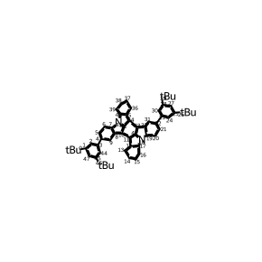 CC(C)(C)c1cc(-c2ccc3c(c2)c2c4c5ccccc5n5c6ccc(-c7cc(C(C)(C)C)cc(C(C)(C)C)c7)cc6c(c6c7ccccc7n3c62)c45)cc(C(C)(C)C)c1